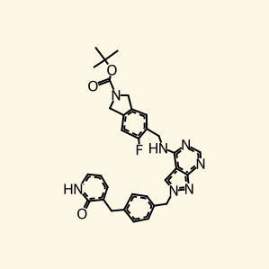 CC(C)(C)OC(=O)N1Cc2cc(F)c(CNc3ncnc4nn(Cc5ccc(Cc6ccc[nH]c6=O)cc5)cc34)cc2C1